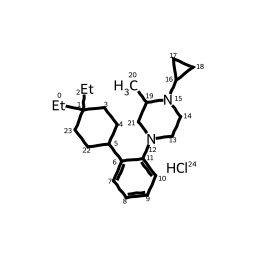 CCC1(CC)CCC(c2ccccc2N2CCN(C3CC3)C(C)C2)CC1.Cl